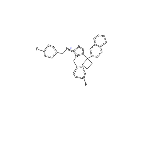 Fc1ccc(C/N=c2/scc(C3(c4ccc5ccccc5c4)CCC3)n2Cc2ccc(F)cc2)cc1